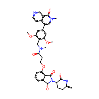 C=C1CCC(N2C(=O)c3cccc(OCCC(=O)N(C)Cc4c(OC)cc(-c5cn(C)c(=O)c6cnccc56)cc4OC)c3C2=O)C(=O)N1